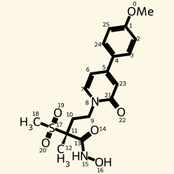 COc1ccc(-c2ccn(CC[C@](C)(C(=O)NO)S(C)(=O)=O)c(=O)c2)cc1